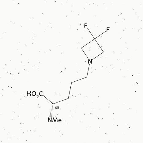 CN[C@@H](CCCN1CC(F)(F)C1)C(=O)O